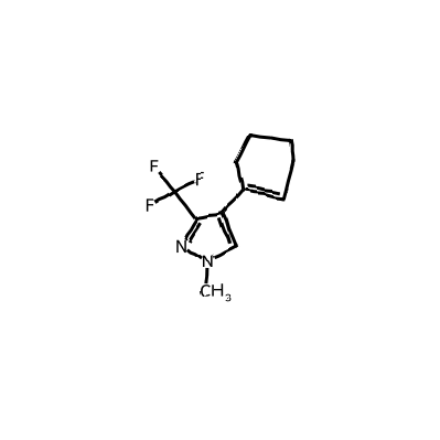 Cn1cc(C2=CCCCC2)c(C(F)(F)F)n1